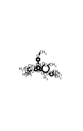 CCCOc1ccc(-c2nc3c(s2)[C@@H]2C[C@@H](OC4OC(C)C(OC)C(OC)C4OC)C[C@H]2[C@@H]2C=C4C(=O)[C@H](C)[C@@H](O[C@H]5CC[C@H](N(C)C)C(C)O5)CCC[C@H](CC)OC(=O)C[C@H]4[C@H]32)cc1